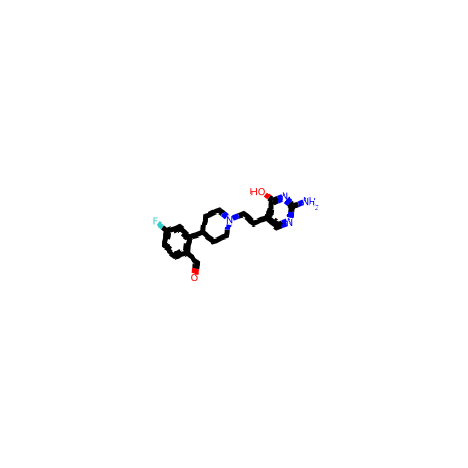 Nc1ncc(CCN2CCC(c3cc(F)ccc3C=O)CC2)c(O)n1